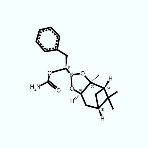 CC1(C)[C@@H]2C[C@H]3OB([C@H](Cc4ccccc4)OC(N)=O)O[C@@]3(C)[C@H]1C2